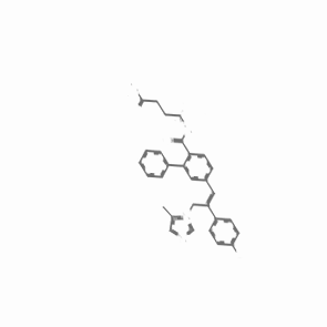 Cc1cncn1CC(=Cc1ccc(C(=O)N[C@@H](CCC(N)=O)C(=O)O)c(-c2ccccc2)c1)c1ccc(F)cc1